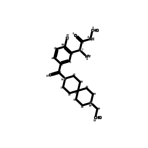 CCCN(C(=O)NC=O)c1cc(C(=O)N2CCC3(CCN(CC=O)CC3)CC2)ccc1Cl